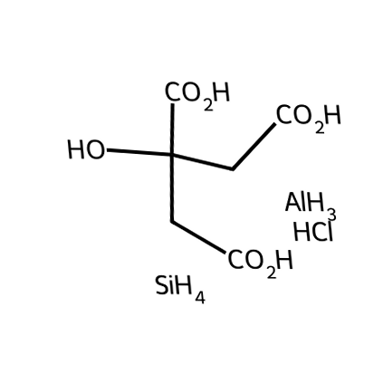 Cl.O=C(O)CC(O)(CC(=O)O)C(=O)O.[AlH3].[SiH4]